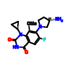 COc1c(N2CC[C@H](N)C2)c(F)cc2c(=O)[nH]c(=O)n(C3CC3)c12